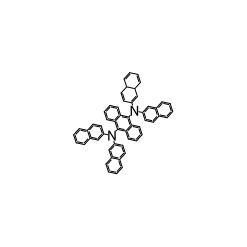 C1=CC2C=CC(N(c3ccc4ccccc4c3)c3c4ccccc4c(N(c4ccc5ccccc5c4)c4ccc5ccccc5c4)c4ccccc34)=CC2C=C1